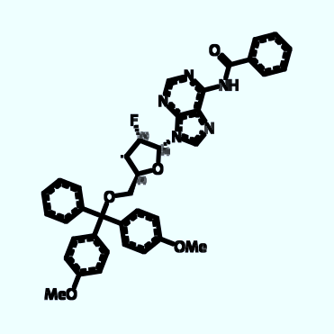 COc1ccc(C(OC[C@H]2[CH][C@H](F)[C@H](n3cnc4c(NC(=O)c5ccccc5)ncnc43)O2)(c2ccccc2)c2ccc(OC)cc2)cc1